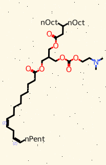 CCCCC/C=C\C/C=C\CCCCCCCC(=O)OCC(COC(=O)CC(CCCCCCCC)CCCCCCCC)COC(=O)OCCN(C)C